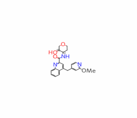 COc1cc(Cc2cc(C(=O)N[C@H]3CCOC[C@@H]3O)nc3ccccc23)ccn1